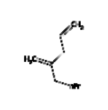 C=CCC(=C)CCCC